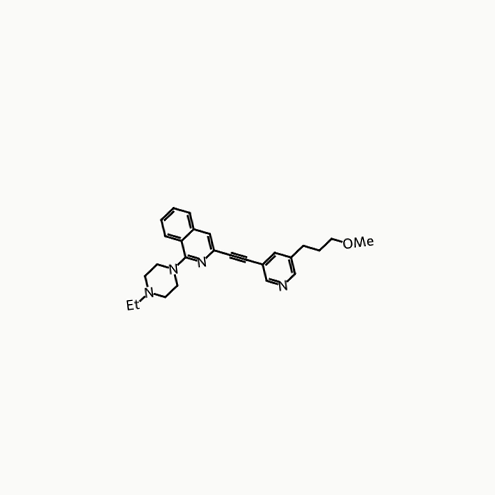 CCN1CCN(c2nc(C#Cc3cncc(CCCOC)c3)cc3ccccc23)CC1